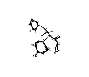 CC(C)(Cc1ccccc1)N(C(=O)C1CC1)c1ccc(Cl)cc1